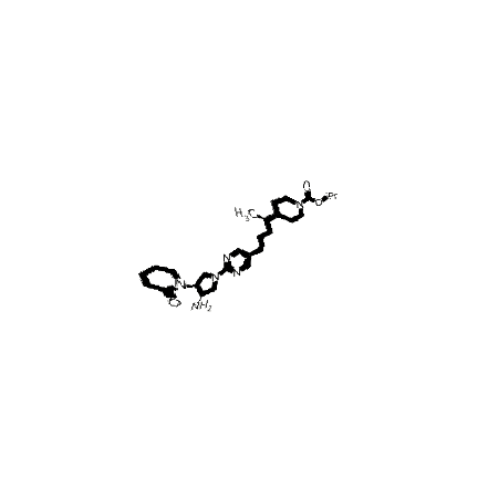 CC(C)OC(=O)N1CCC([C@H](C)CCCc2cnc(N3C[C@H](N)[C@@H](N4CCCCC4=O)C3)nc2)CC1